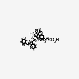 Nc1nc(-c2nn(Cc3ccccc3F)c3ncccc23)nc2c1C(c1ccc(CCC(=O)O)cc1)(C1CC1)C(=O)N2